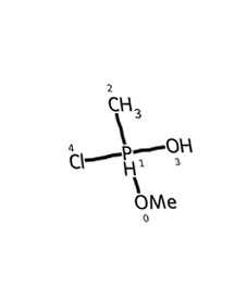 CO[PH](C)(O)Cl